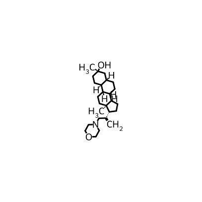 C=C(CN1CCOCC1)[C@H]1CC[C@H]2[C@@H]3CC[C@H]4C[C@@](C)(O)CC[C@@H]4[C@H]3CC[C@]12C